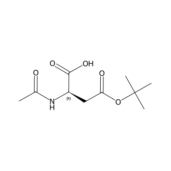 CC(=O)N[C@H](CC(=O)OC(C)(C)C)C(=O)O